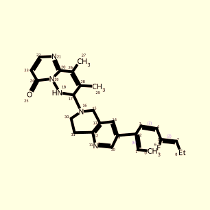 C\C=C(/C=C\C(F)=C\CC)c1cnc2c(c1)CN(C1Nn3c(nccc3=O)C(C)=C1C)CC2